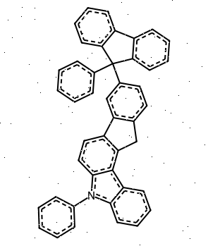 c1ccc(-n2c3ccccc3c3c4c(ccc32)-c2cc(C3(c5ccccc5)c5ccccc5-c5ccccc53)ccc2C4)cc1